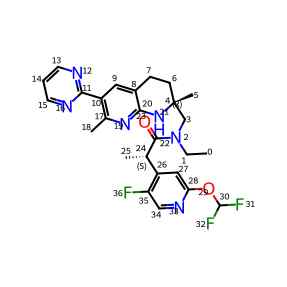 CCN(C[C@@]1(C)CCc2cc(-c3ncccn3)c(C)nc2N1)C(=O)[C@@H](C)c1cc(OC(F)F)ncc1F